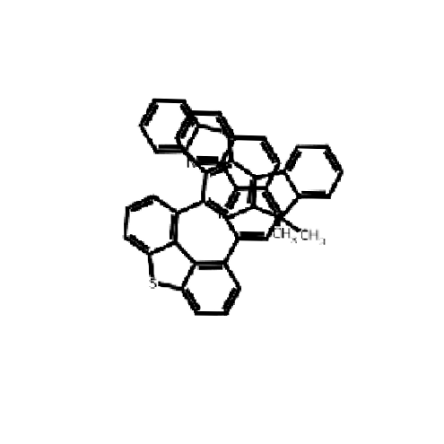 CC1(C)c2ccccc2-c2c1cc(-c1cccc3sc4cccc(-c5ccc6ccc7cccnc7c6n5)c4c13)c1c2oc2ccccc21